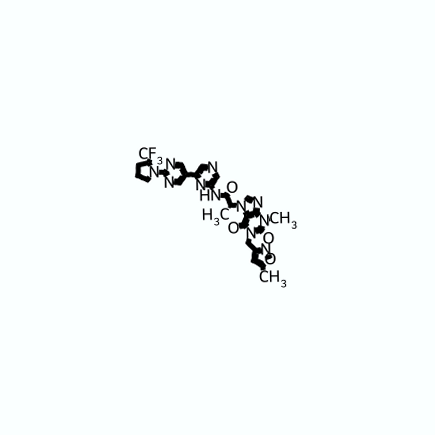 Cc1cc(Cn2c(=O)c3c(ncn3[C@@H](C)C(=O)Nc3cncc(-c4cnc(N5CCCC5C(F)(F)F)nc4)n3)n(C)c2=O)no1